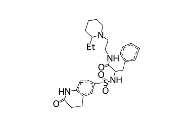 CCC1CCCCN1CCNC(=O)C(Cc1ccccc1)NS(=O)(=O)c1ccc2c(c1)CCC(=O)N2